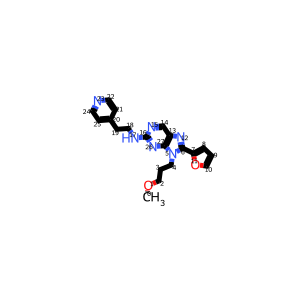 COCCCn1c(-c2ccco2)nc2cnc(NCCc3ccncc3)nc21